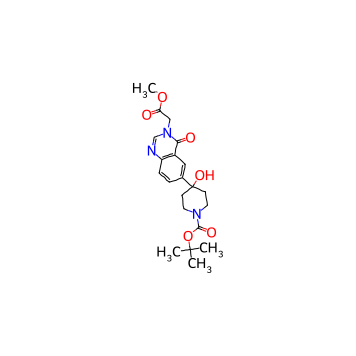 COC(=O)Cn1cnc2ccc(C3(O)CCN(C(=O)OC(C)(C)C)CC3)cc2c1=O